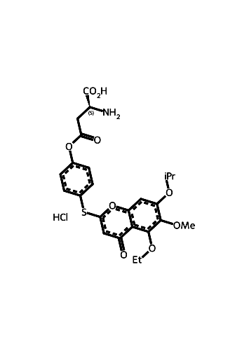 CCOc1c(OC)c(OC(C)C)cc2oc(Sc3ccc(OC(=O)C[C@H](N)C(=O)O)cc3)cc(=O)c12.Cl